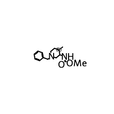 COC(=O)NC1CN(Cc2ccccc2)CC[C@H]1C